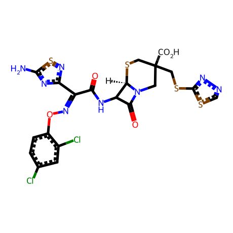 Nc1nc(C(=NOc2ccc(Cl)cc2Cl)C(=O)NC2C(=O)N3CC(CSc4nncs4)(C(=O)O)CS[C@H]23)ns1